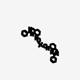 CC(C)(CO/N=C1\CCCc2cnc(-c3ccccc3)nc21)CO/N=C1\CCCc2cnc(-c3ccccc3)nc21